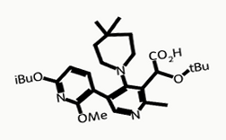 COc1nc(OCC(C)C)ccc1-c1cnc(C)c(C(OC(C)(C)C)C(=O)O)c1N1CCC(C)(C)CC1